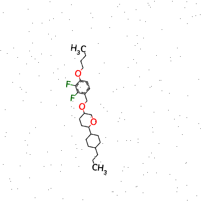 CCCCOc1ccc(COC2CCC(C3CCC(CCC)CC3)OC2)c(F)c1F